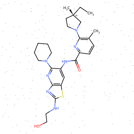 CC[C@@]1(C)CCN(c2nc(C(=O)Nc3cc4sc(NCCO)nc4nc3N3CCCCC3)ccc2C)C1